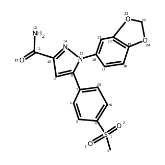 CS(=O)(=O)c1ccc(-c2cc(C(N)=O)nn2-c2ccc3c(c2)OCO3)cc1